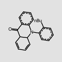 CCCCc1ccccc1N1c2ccccc2C(=O)C2C=CC=CC21